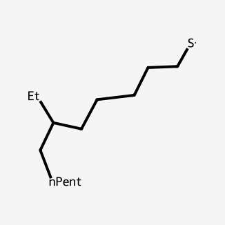 CCCCCCC(CC)CCCCC[S]